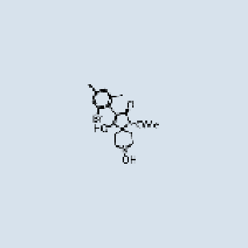 CON1C(=O)C(c2c(C)cc(C)cc2Br)=C(O)C12CCN(O)CC2